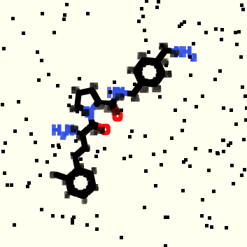 Cc1ccccc1CC[C@@H](N)C(=O)N1CCC[C@H]1C(=O)NCc1ccc(CN)cc1